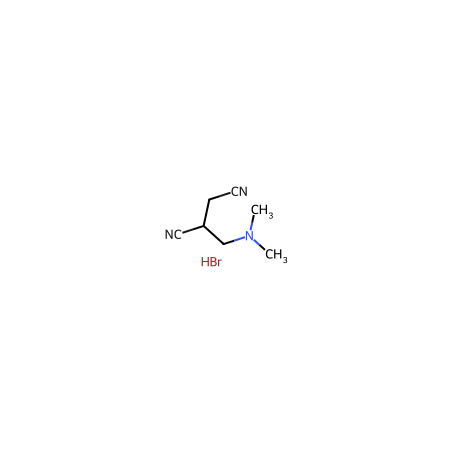 Br.CN(C)CC(C#N)CC#N